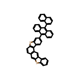 c1ccc2c(-c3c4ccccc4c(-c4ccc5c(c4)sc4ccc6cc7sc8ccccc8c7cc6c45)c4ccccc34)cccc2c1